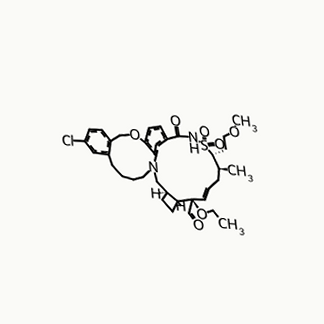 CCO[C@]1(C=O)/C=C/C[C@H](C)[C@@H](CCOC)S(=O)(=O)NC(=O)c2ccc3c(c2)N(CCCCc2cc(Cl)ccc2CO3)C[C@@H]2CC[C@H]21